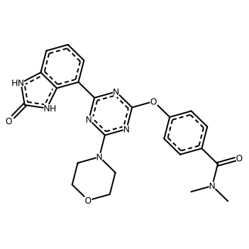 CN(C)C(=O)c1ccc(Oc2nc(-c3cccc4[nH]c(=O)[nH]c34)nc(N3CCOCC3)n2)cc1